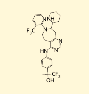 CC(O)(c1ccc(Nc2ncnc3c2CCN(c2ncccc2C(F)(F)F)C(C2CCCCN2)C3)cc1)C(F)(F)F